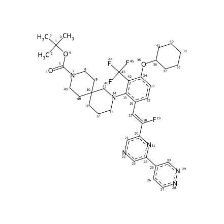 CC(C)(C)OC(=O)N1CCC2(CCCN(c3c(/C=C(\F)c4cncc(-c5ccnnc5)n4)ccc(OC4CCCCC4)c3C(F)(F)F)C2)CC1